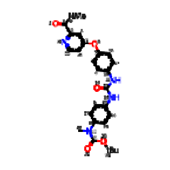 CNC(=O)c1cc(Oc2ccc(NC(=O)Nc3ccc(N(C)C(=O)OC(C)(C)C)cc3)cc2)ccn1